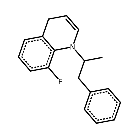 CC(Cc1ccccc1)N1C=CCc2cccc(F)c21